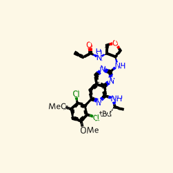 C=CC(=O)N[C@H]1COC[C@H]1Nc1ncc2cc(-c3c(Cl)c(OC)cc(OC)c3Cl)nc(N[C@H](C)C(C)(C)C)c2n1